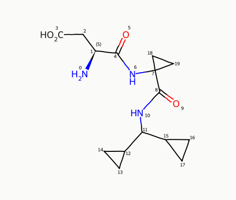 N[C@@H](CC(=O)O)C(=O)NC1(C(=O)NC(C2CC2)C2CC2)CC1